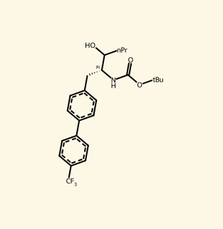 CCCC(O)[C@@H](Cc1ccc(-c2ccc(C(F)(F)F)cc2)cc1)NC(=O)OC(C)(C)C